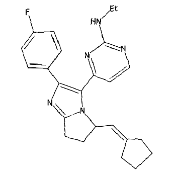 CCNc1nccc(-c2c(-c3ccc(F)cc3)nc3n2C(C=C2CCCC2)CC3)n1